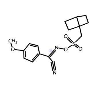 COc1ccc(/C(C#N)=N/OS(=O)(=O)CC23CCC2CC3)cc1